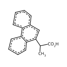 CC(C(=O)O)c1cc2ccccc2c2ccccc12